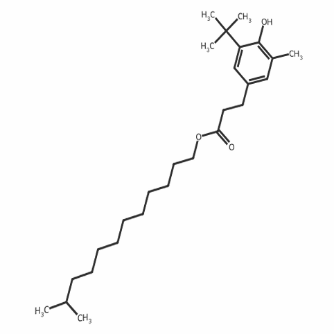 Cc1cc(CCC(=O)OCCCCCCCCCCC(C)C)cc(C(C)(C)C)c1O